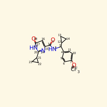 O=C(NC(c1ccc(OC(F)(F)F)cc1)C1CC1)c1cc(=O)[nH]c(C2CC2)n1